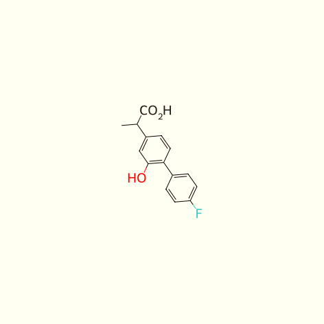 CC(C(=O)O)c1ccc(-c2ccc(F)cc2)c(O)c1